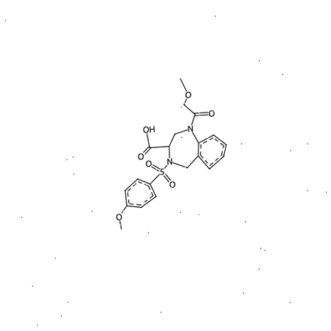 COCC(=O)N1CC(C(=O)O)N(S(=O)(=O)c2ccc(OC)cc2)Cc2ccccc21